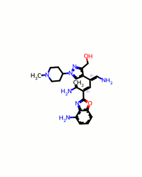 C=C(N)/C(=C\C(=C/N)c1cn(C2CCN(C)CC2)nc1CO)c1nc2c(N)cccc2o1